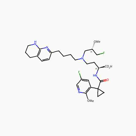 COc1ncc(F)cc1C1(C(=O)N[C@@H](CCN(CCCCc2ccc3c(n2)NCCC3)C[C@@H](CF)OC)C(=O)O)CC1